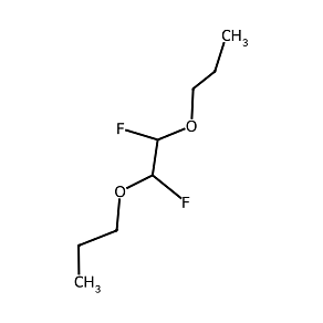 CCCOC(F)C(F)OCCC